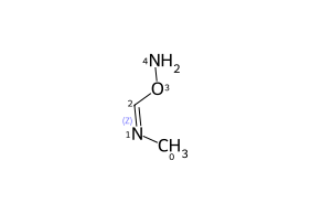 C/N=C\ON